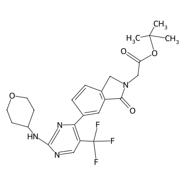 CC(C)(C)OC(=O)CN1Cc2ccc(-c3nc(NC4CCOCC4)ncc3C(F)(F)F)cc2C1=O